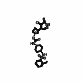 O=C(N[C@H]1CC[C@H](NS(=O)(=O)c2ccccc2F)CC1)O[C@@H]1CCC(c2cn[nH]c(=O)c2Cl)C1